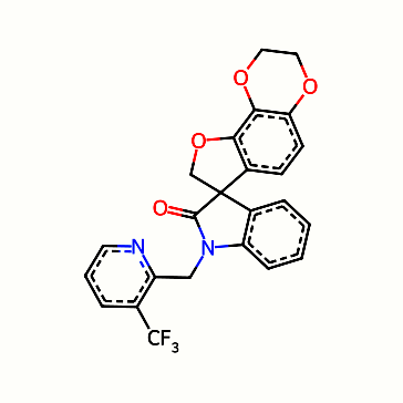 O=C1N(Cc2ncccc2C(F)(F)F)c2ccccc2C12COc1c2ccc2c1OCCO2